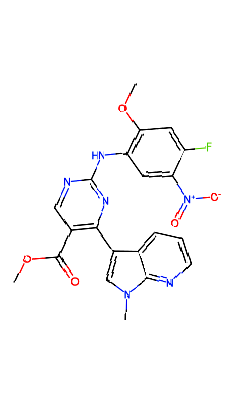 COC(=O)c1cnc(Nc2cc([N+](=O)[O-])c(F)cc2OC)nc1-c1cn(C)c2ncccc12